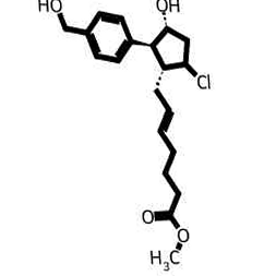 COC(=O)CCCC=CC[C@H]1C(Cl)C[C@@H](O)[C@@H]1c1ccc(CO)cc1